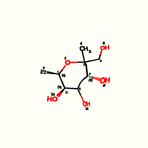 CC[C@H]1OC(C)(CO)[C@H](O)C(O)[C@H]1O